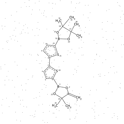 C=C1OB(c2ccc(-c3ccc(B4OC(C)(C)C(C)(C)O4)s3)s2)OC1(C)C